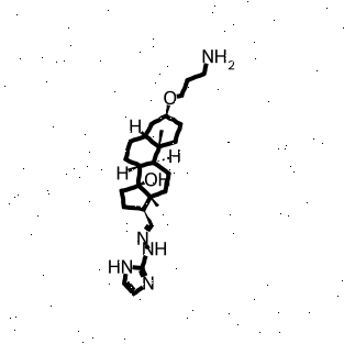 C[C@]12CC[C@H](OCCCN)C[C@H]1CC[C@@H]1[C@@H]2CC[C@]2(C)[C@@H](/C=N/Nc3ncc[nH]3)CC[C@]12O